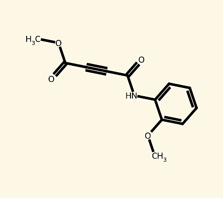 COC(=O)C#CC(=O)Nc1ccccc1OC